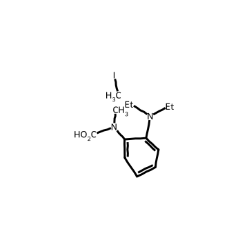 CCN(CC)c1ccccc1N(C)C(=O)O.CI